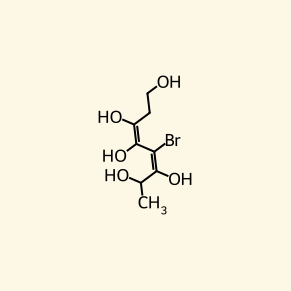 CC(O)/C(O)=C(Br)\C(O)=C(\O)CCO